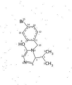 CC(C)C1C=NC=C(O)N1Cc1ccc(Br)cc1